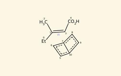 CC/C(C)=C/C(=O)O.c1cc2ccc1-2